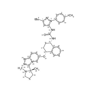 Cc1ccc(-n2nc(C(C)(C)C)cc2NC(=O)N[C@H]2CC[C@@H](Oc3ccc4nnc([C@]5(C)CCCN5C)n4c3)c3ccccc32)cc1